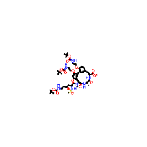 COC(=O)[C@@H]1Cc2ccc(OCCNC(=O)OC(C)(C)C)c(c2)-c2cc(ccc2OCCNC(=O)OC(C)(C)C)[C@H](N(C)C(=O)[C@H](CCCCNC(=O)OC(C)(C)C)NS(C)(=O)=O)C(=O)N[C@@H](C)C(=O)N1